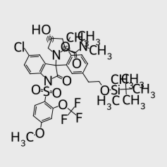 COc1ccc(S(=O)(=O)N2C(=O)C(c3cc(CCO[Si](C)(C)C(C)(C)C)ccc3OC)(N3C[C@H](O)C[C@H]3C(=O)N(C)C)c3cc(Cl)ccc32)c(OC(F)(F)F)c1